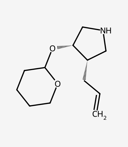 C=CC[C@H]1CNC[C@H]1OC1CCCCO1